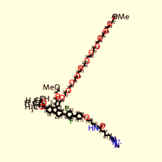 COCCOCCCC1(CCCOCCOCCOCCOCCOCCOCCOCCOCCOCCOCCOCCOC)c2cc(B3OC(C)(C)C(C)(C)O3)ccc2-c2ccc(-c3cc(F)c(-c4ccc(OCCCCNC(=O)CCCCCN=[N+]=[N-])cc4)cc3F)cc21